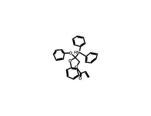 C=CC(=O)OCC(Oc1ccccc1)(Oc1ccccc1)[SiH](c1ccccc1)c1ccccc1